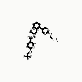 CCOc1ncc(-c2cccc3c2C[C@H](NC(=O)c2ccc(OCC(F)(F)F)nc2)CO3)cn1